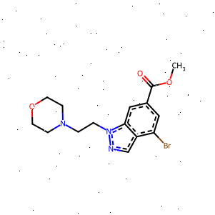 COC(=O)c1cc(Br)c2cnn(CCN3CCOCC3)c2c1